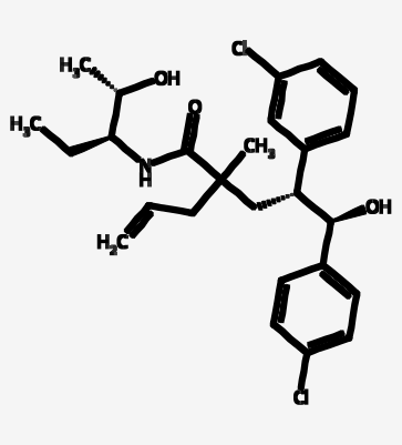 C=CCC(C)(C[C@H](c1cccc(Cl)c1)[C@@H](O)c1ccc(Cl)cc1)C(=O)N[C@@H](CC)[C@H](C)O